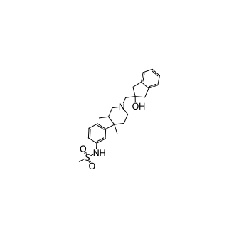 CC1CN(CC2(O)Cc3ccccc3C2)CCC1(C)c1cccc(NS(C)(=O)=O)c1